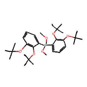 CO[Si](OC)(c1cccc(OC(C)(C)C)c1OC(C)(C)C)c1cccc(OC(C)(C)C)c1OC(C)(C)C